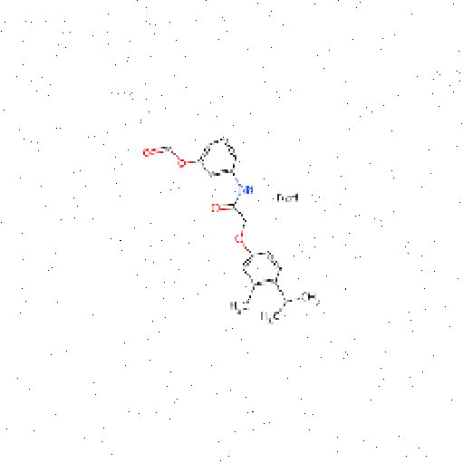 Cc1cc(OCC(=O)Nc2cccc(OC=O)c2)ccc1C(C)C.[NaH]